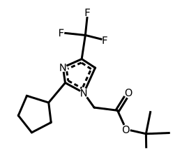 CC(C)(C)OC(=O)Cn1cc(C(F)(F)F)nc1C1CCCC1